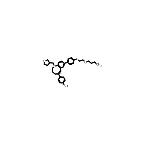 CCCCOCCOc1ccc(-c2ccc3c(c2)/C=C(/c2ccc(S)cc2)CCCN3CC2CCOC2)cc1